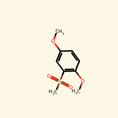 [CH2]S(=O)(=O)c1cc(OC)ccc1OC